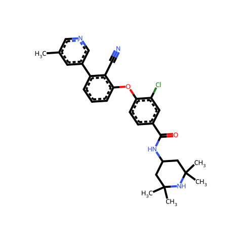 Cc1cncc(-c2cccc(Oc3ccc(C(=O)NC4CC(C)(C)NC(C)(C)C4)cc3Cl)c2C#N)c1